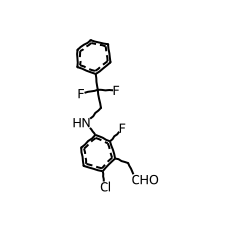 O=CCc1c(Cl)ccc(NCC(F)(F)c2ccccc2)c1F